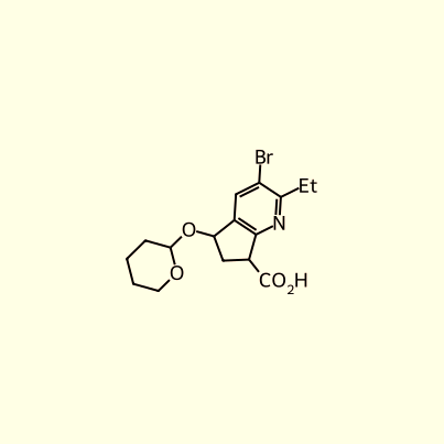 CCc1nc2c(cc1Br)C(OC1CCCCO1)CC2C(=O)O